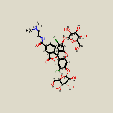 CN(C)CCNC(=O)c1ccc2c(c1)C(=O)OC21c2cc(Cl)c(O[C@H]3OC(CO)[C@@H](O)[C@@H](O)C3O)cc2Oc2cc(O[C@@H]3OC(CO)[C@H](O)C(O)[C@@H]3O)c(Cl)cc21